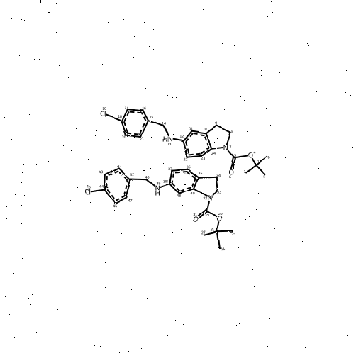 CC(C)(C)OC(=O)N1CCc2cc(NCc3ccc(Cl)cc3)ccc21.CC(C)(C)OC(=O)N1CCc2ccc(NCc3ccc(Cl)cc3)cc21